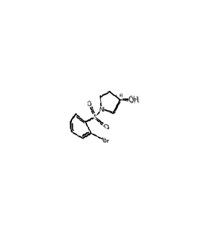 O=S(=O)(c1ccccc1Br)N1CC[C@@H](O)C1